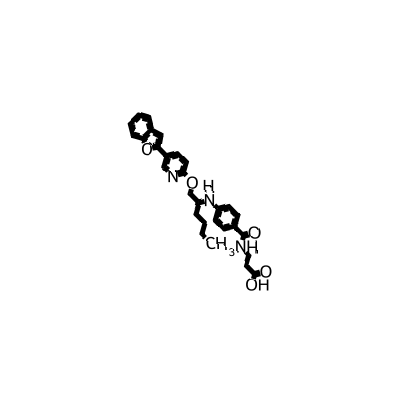 CCCCC(COc1ccc(-c2cc3ccccc3o2)cn1)Nc1ccc(C(=O)NCCC(=O)O)cc1